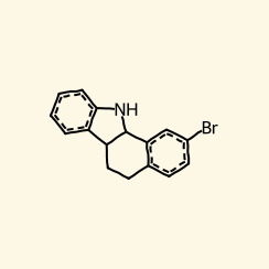 Brc1ccc2c(c1)C1Nc3ccccc3C1CC2